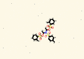 Cc1ccc(S(=O)(=O)N(C(C)OS(=O)(=O)c2ccccc2C)C(C)OS(=O)(=O)c2ccccc2C)cc1